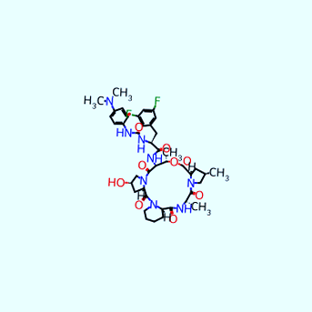 C[C@@H]1C[C@H]2C(=O)O[C@@H](C)[C@H](NC(=O)[C@H](Cc3cc(F)cc(F)c3)NC(=O)Nc3ccc(N(C)C)cc3)C(=O)N3C[C@H](O)C[C@H]3C(=O)N3CCCC[C@H]3C(=O)N[C@@H](C)C(=O)N2C1